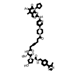 CC(=O)c1c(C)c2cnc(Nc3ccc(N4CCN(C(=O)CCC#CCC(=O)N[C@H](C(=O)N5C[C@H](O)C[C@H]5C(=O)NCc5ccc(-c6scnc6C)cc5)C(C)(C)C)CC4)cn3)nc2n(C2CCCC2)c1=O